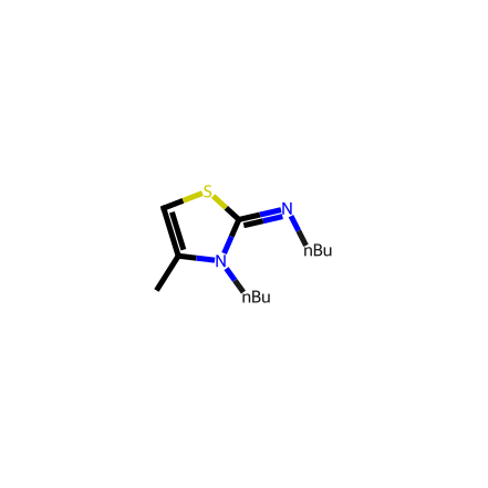 CCCCN=c1scc(C)n1CCCC